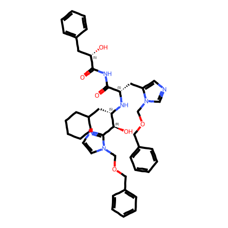 O=C(NC(=O)[C@@H](O)Cc1ccccc1)[C@H](Cc1cncn1COCc1ccccc1)N[C@@H](CC1CCCCC1)[C@@H](O)c1nccn1COCc1ccccc1